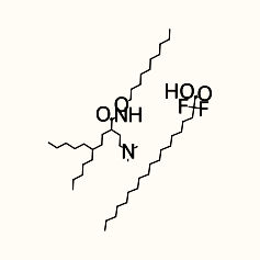 CCCCCCCCCCCCCCCCCC(F)(F)C(=O)O.CCCCCCCCCCONC(=O)C(CCC(CCCCC)CCCCC)CCN(C)C